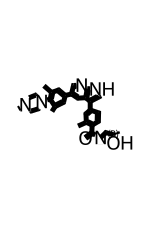 Cc1cc(-c2c[nH]c3ncc(-c4cc(C)c(N5CCN(C)CC5)c(C)c4)cc23)ccc1C(=O)N(C)C[C@@H](C)O